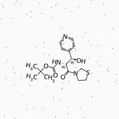 CC(C)(C)OC(=O)N[C@@H](C(=O)N1CCSC1)[C@H](O)c1ccncc1